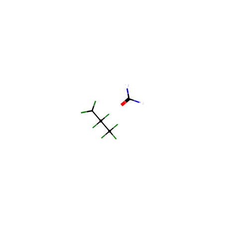 FC(F)C(F)(F)C(F)(F)F.NC(N)=O